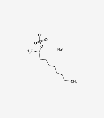 CCCCCCCCC(C)OS(=O)(=O)[O-].[Na+]